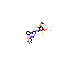 C=CC(=O)Nc1ccccc1-c1cc(NCc2c(Cl)c(OC)cc(OC)c2Cl)[nH]n1